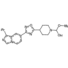 CC(C)c1ncn2ccc(-c3noc(C4CCN(C(O)OC(C)(C)C)CC4)n3)cc12